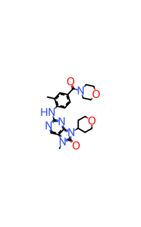 Cc1cc(C(=O)N2CCOCC2)ccc1Nc1ncc2c(n1)n(C1CCOCC1)c(=O)n2C